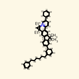 CCC12CC1(CC)[n+]1cc(C3=CC=CCC3)ccc1-c1cc3c(cc12)-c1ccc(C2C=C(CCCCCCc4ccccc4)C=CC2)cc1C3(C)C